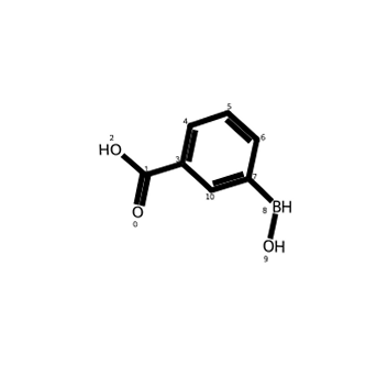 O=C(O)c1cccc(BO)c1